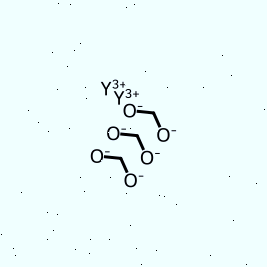 [O-]C[O-].[O-]C[O-].[O-]C[O-].[Y+3].[Y+3]